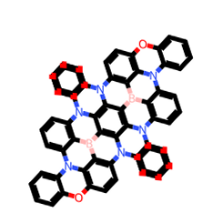 c1ccc(N2c3cccc4c3B3c5c(ccc6c5N4c4ccccc4O6)N(c4ccccc4)c4c3c2c2c3c4N(c4ccccc4)c4cccc5c4B3c3c(ccc4c3N5c3ccccc3O4)N2c2ccccc2)cc1